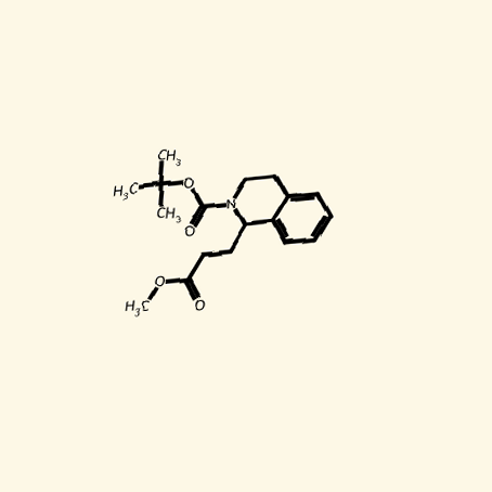 COC(=O)CCC1c2ccccc2CCN1C(=O)OC(C)(C)C